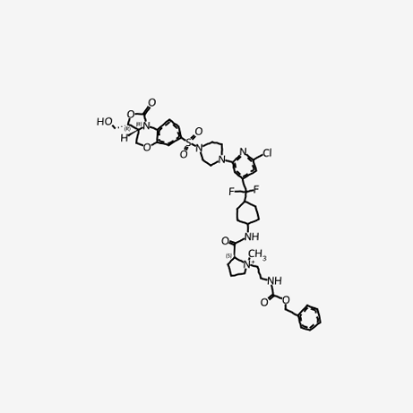 C[N+]1(CCNC(=O)OCc2ccccc2)CCC[C@H]1C(=O)NC1CCC(C(F)(F)c2cc(Cl)nc(N3CCN(S(=O)(=O)c4ccc5c(c4)OC[C@@H]4[C@H](CO)OC(=O)N54)CC3)c2)CC1